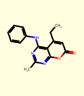 CCc1cc(=O)oc2nc(C)nc(Nc3ccccc3)c12